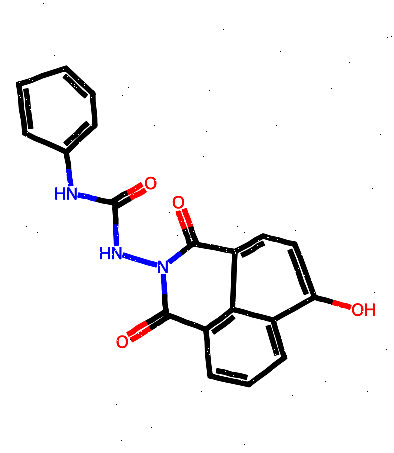 O=C(Nc1ccccc1)NN1C(=O)c2cccc3c(O)ccc(c23)C1=O